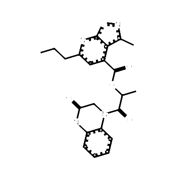 CCCc1cc(C(=O)OC(C)C(=O)N2CC(=O)Nc3ccccc32)c2c(C)noc2n1